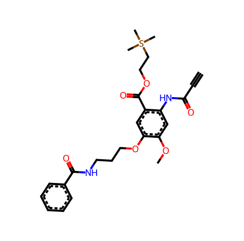 C#CC(=O)Nc1cc(OC)c(OCCCNC(=O)c2ccccc2)cc1C(=O)OCCS(C)(C)C